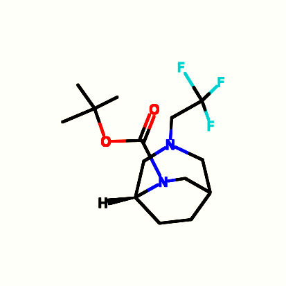 CC(C)(C)OC(=O)N1CC2CC[C@@H]1CN(CC(F)(F)F)C2